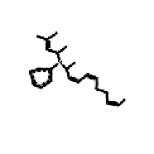 C/C=C\CC/C=C\C=C/C(C)N(c1ccccc1)C(C)C=C(C)C